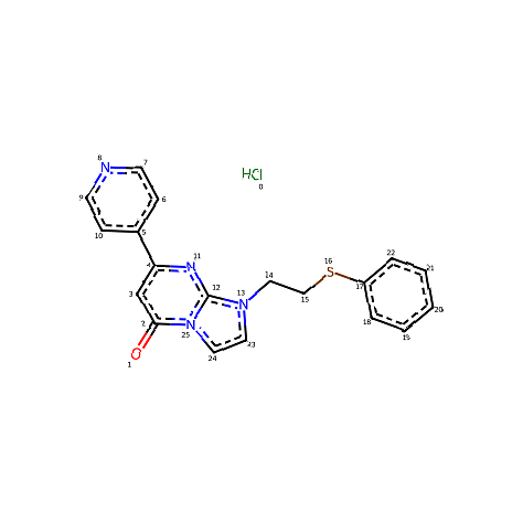 Cl.O=c1cc(-c2ccncc2)nc2n(CCSc3ccccc3)ccn12